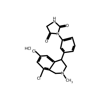 CN1Cc2c(Cl)cc(Cl)cc2C(c2cccc(N3C(=O)CNC3=O)c2)C1.Cl